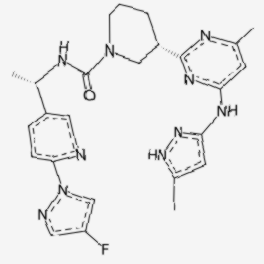 Cc1cc(Nc2cc(C)[nH]n2)nc([C@H]2CCCN(C(=O)N[C@@H](C)c3ccc(-n4cc(F)cn4)nc3)C2)n1